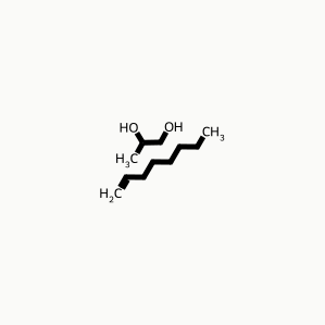 C=CCCCCCC.CC(O)CO